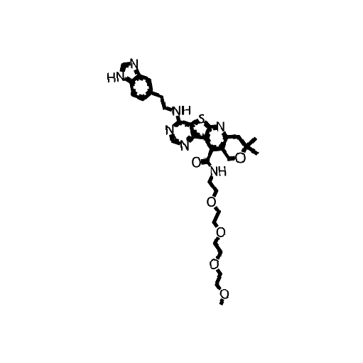 COCCOCCOCCOCCNC(=O)c1c2c(nc3sc4c(NCCc5ccc6[nH]cnc6c5)ncnc4c13)CC(C)(C)OC2